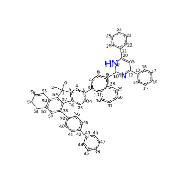 CC1(C)c2cc(-c3ccc(C4N=C(c5ccccc5)C=C(c5ccccc5)N4)c4ccccc34)ccc2-c2c(-c3ccc(-c4ccccc4)cc3)cc3c(c21)C=CCC3